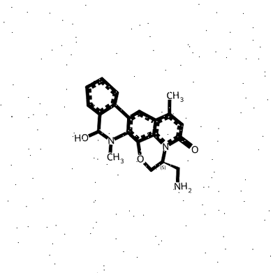 Cc1cc(=O)n2c3c(c4c(cc13)-c1ccccc1C(O)N4C)OC[C@@H]2CN